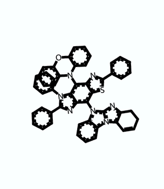 C1=Cc2c(nc3n(-c4c5nc(-c6ccccc6)n(-c6ccccc6)c5c(N5c6ccccc6Oc6ccccc65)c5nc(-c6ccccc6)sc45)c4ccccc4n23)CC1